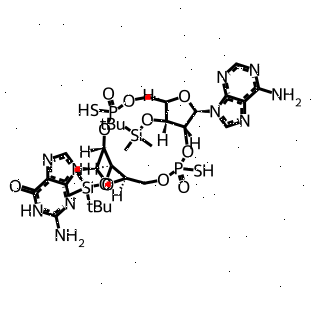 CC(C)(C)[Si](C)(C)O[C@H]1[C@H]2OP(=O)(S)OC[C@H]3O[C@@H](n4cnc5c(=O)[nH]c(N)nc54)[C@H](OP(=O)(S)OC[C@H]1O[C@H]2n1cnc2c(N)ncnc21)[C@@H]3O[Si](C)(C)C(C)(C)C